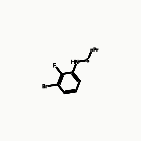 CCCSNc1cccc(Br)c1F